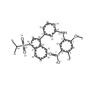 COc1cc(F)c([N+](=O)[O-])cc1Nc1nccc(-c2cn(S(=O)(=O)C(C)C)c3ccccc23)n1